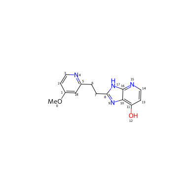 COc1ccnc(CCc2nc3c(O)ccnc3[nH]2)c1